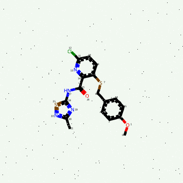 COc1ccc(CSc2ccc(Cl)nc2C(=O)Nc2nc(C)ns2)cc1